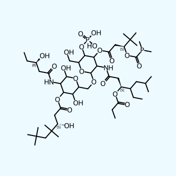 CCC(=O)O[C@@H](CC(=O)NC1C(OCC2OC(O)C(NC(=O)C[C@H](O)CC)C(OC(=O)C[C@H](O)C(C)(C)CC(C)(C)C)C2O)OC(CO)C(OP(=O)(O)O)C1OC(=O)C[C@H](OC(=O)P(C)C)C(C)(C)C)C(CC)CC(C)C